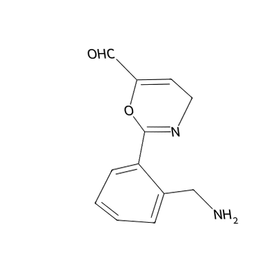 NCc1ccccc1C1=NCC=C(C=O)O1